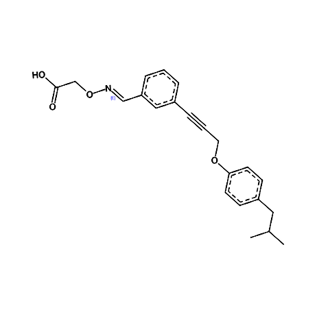 CC(C)Cc1ccc(OCC#Cc2cccc(/C=N/OCC(=O)O)c2)cc1